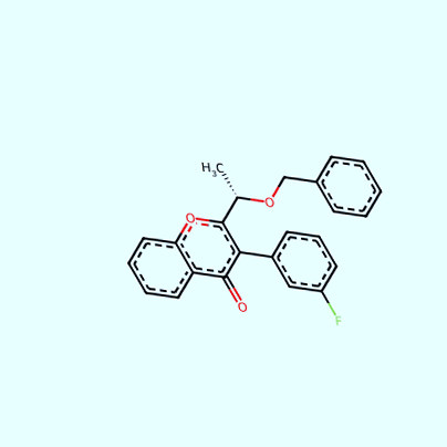 C[C@H](OCc1ccccc1)c1oc2ccccc2c(=O)c1-c1cccc(F)c1